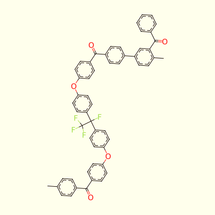 Cc1ccc(C(=O)c2ccc(Oc3ccc(C(F)(c4ccc(Oc5ccc(C(=O)c6ccc(-c7ccc(C)c(C(=O)c8ccccc8)c7)cc6)cc5)cc4)C(F)(F)F)cc3)cc2)cc1